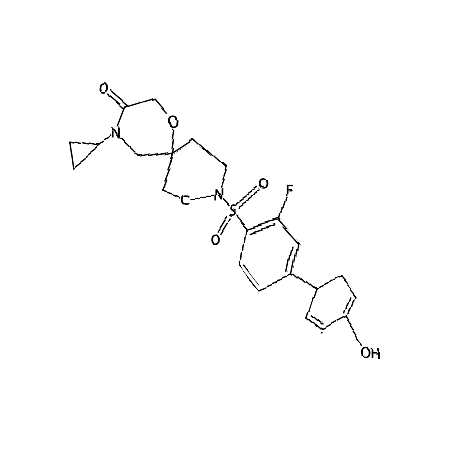 O=C1COC2(CCN(S(=O)(=O)c3ccc(C4C=[C]C(O)=CC4)cc3F)CC2)CN1C1CC1